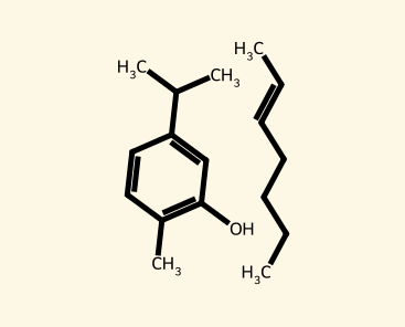 C/C=C/CCCC.Cc1ccc(C(C)C)cc1O